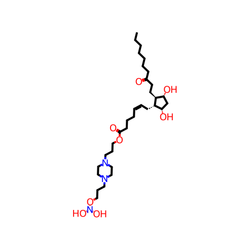 CCCCCCCC(=O)CC[C@@H]1[C@@H](C/C=C\CCCC(=O)OCCCN2CCN(CCCON(O)O)CC2)[C@@H](O)C[C@H]1O